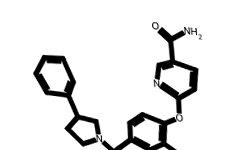 Cc1cc(CN2CCC(c3ccccc3)C2)ccc1Oc1ccc(C(N)=O)cn1